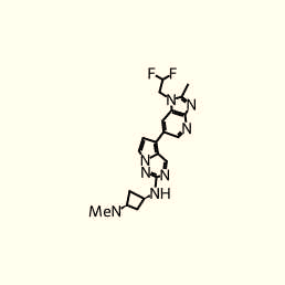 CN[C@H]1C[C@@H](Nc2ncc3c(-c4cnc5nc(C)n(CC(F)F)c5c4)ccn3n2)C1